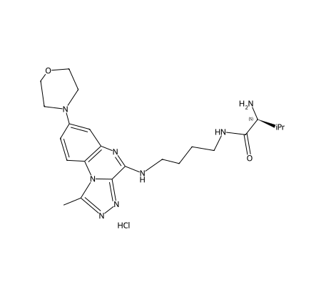 Cc1nnc2c(NCCCCNC(=O)[C@@H](N)C(C)C)nc3cc(N4CCOCC4)ccc3n12.Cl